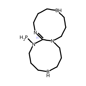 PN1CCCBCCCN2CCCBCCC/N=C/12